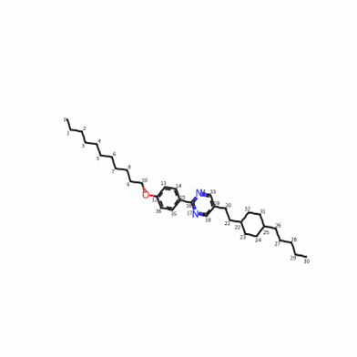 CCCCCCCCCCCOc1ccc(-c2ncc(CCC3CCC(CCCCC)CC3)cn2)cc1